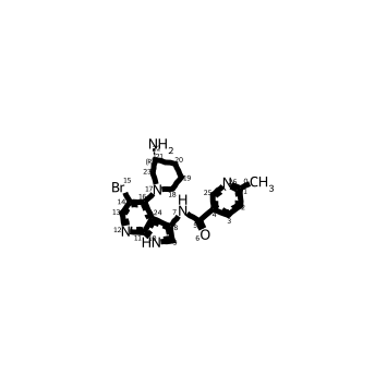 Cc1ccc(C(=O)Nc2c[nH]c3ncc(Br)c(N4CCC[C@@H](N)C4)c23)cn1